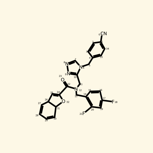 N#Cc1ccc(Cn2cnnc2CN(Cc2ccc(F)cc2F)C(=O)C2=CC3C=CC=CC3O2)cc1